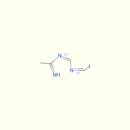 CC(=N)/N=C\N=C/I